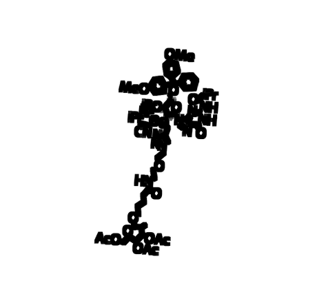 COc1ccc(C(OC[C@H]2O[C@@H](n3cnc4c(=O)[nH]c(NC(=O)C(C)C)nc43)[C@H](OCc3cn(CCOCCNC(=O)CCCCOC4OC(COC(C)=O)C(OC(C)=O)C(OC(C)=O)C4C)nn3)[C@@H]2OP(OCCC#N)N(C(C)C)C(C)C)(c2ccccc2)c2ccc(OC)cc2)cc1